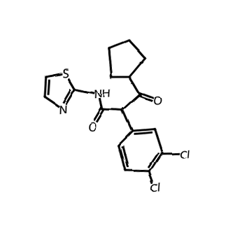 O=C(Nc1nccs1)C(C(=O)C1CCCC1)c1ccc(Cl)c(Cl)c1